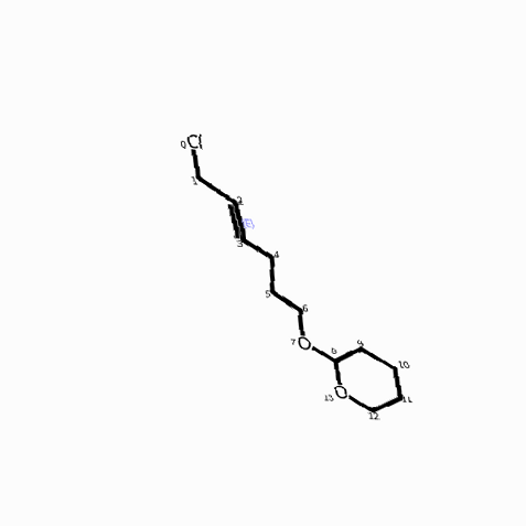 ClC/C=C/CCCOC1CCCCO1